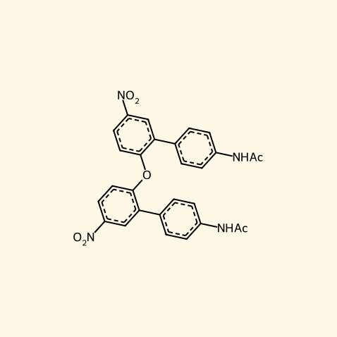 CC(=O)Nc1ccc(-c2cc([N+](=O)[O-])ccc2Oc2ccc([N+](=O)[O-])cc2-c2ccc(NC(C)=O)cc2)cc1